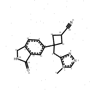 Cn1cnnc1CC1(c2ccc3c(c2)C(=O)NC3)CC(C#N)C1